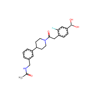 CC(=O)NCc1cccc(C2CCN(C(=O)Cc3ccc(B(O)O)cc3F)CC2)c1